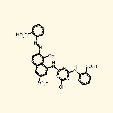 O=C(O)c1ccccc1/N=N/c1ccc2cc(S(=O)(=O)O)cc(Nc3nc(O)nc(Nc4ccccc4C(=O)O)n3)c2c1O